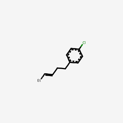 [CH2]CC=CCCc1ccc(Cl)cc1